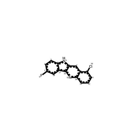 Fc1ccc2[nH]c3cc4c(Cl)cccc4nc3c2c1